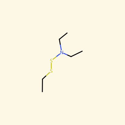 CCSSN(CC)CC